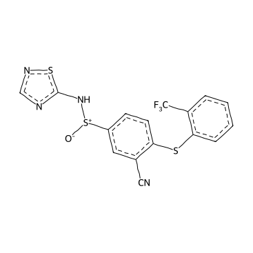 N#Cc1cc([S+]([O-])Nc2ncns2)ccc1Sc1ccccc1C(F)(F)F